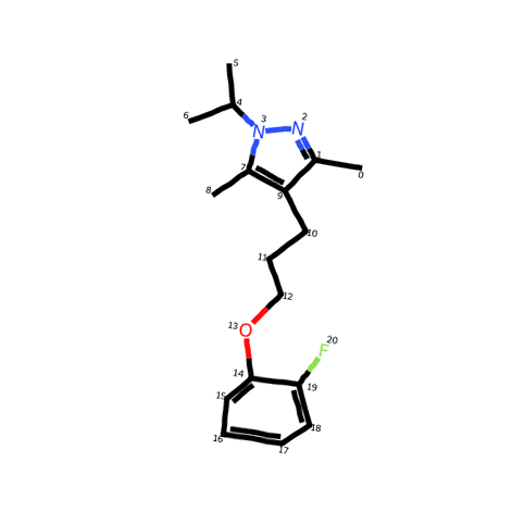 Cc1nn(C(C)C)c(C)c1CCCOc1ccccc1F